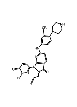 C=CCn1c(=O)c2cnc(Nc3ccc(C4CCNCC4)c(C(F)(F)F)c3)nc2n1-c1ccc(=O)n(C(C)C)n1